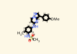 COc1ccc(-c2cnn3ccc(Nc4ccc(C)c(NS(C)(=O)=O)c4)nc23)cc1